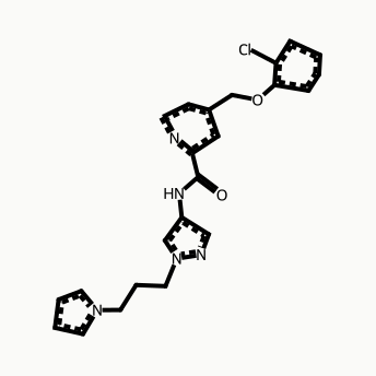 O=C(Nc1cnn(CCCn2cccc2)c1)c1cc(COc2ccccc2Cl)ccn1